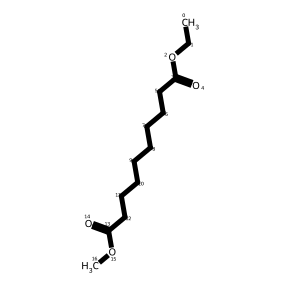 CCOC(=O)CCCCCCCCC(=O)OC